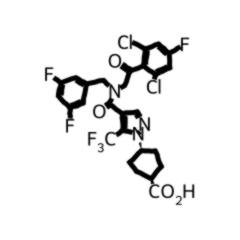 O=C(CN(Cc1cc(F)cc(F)c1)C(=O)c1cnn([C@H]2CC[C@H](C(=O)O)CC2)c1C(F)(F)F)c1c(Cl)cc(F)cc1Cl